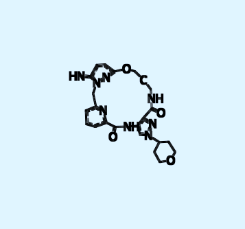 N=c1ccc2nn1Cc1cccc(n1)C(=O)Nc1cn(C3CCOCC3)nc1C(=O)NCCCO2